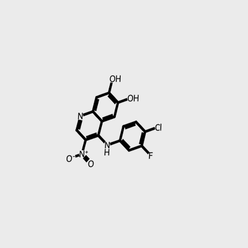 O=[N+]([O-])c1cnc2cc(O)c(O)cc2c1Nc1ccc(Cl)c(F)c1